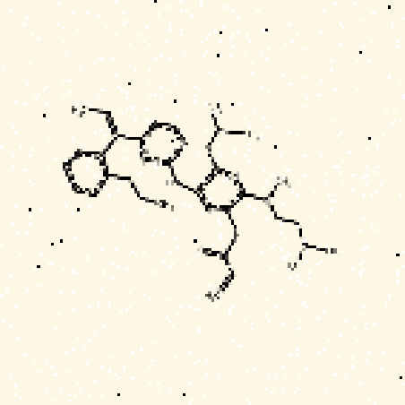 C=CC(=O)Nc1cc(Nc2nccc(/C(=C/C)c3ccccc3CCC)n2)c(OC(C)C)nc1N(C)CCN(C)C